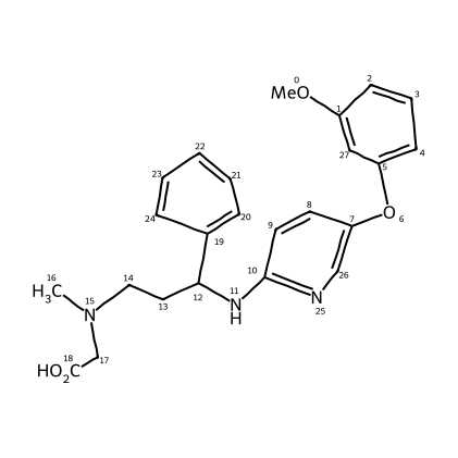 COc1cccc(Oc2ccc(NC(CCN(C)CC(=O)O)c3ccccc3)nc2)c1